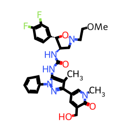 COCCN1C[C@@H](NC(=O)Nc2c(C)c(-c3cc(CO)c(=O)n(C)c3)nn2-c2ccccc2)[C@H](c2ccc(F)c(F)c2)O1